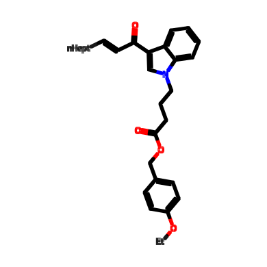 CCCCCCC/C=C/C(=O)c1cn(CCCC(=O)OCc2ccc(OCC)cc2)c2ccccc12